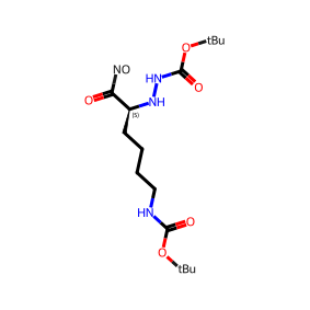 CC(C)(C)OC(=O)NCCCC[C@H](NNC(=O)OC(C)(C)C)C(=O)N=O